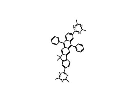 Cc1nc(C)nc(-c2ccc3c(c2)C(C)(C)c2cc4c(-c5ccccc5)c5ccc(-c6nc(C)nc(C)n6)cc5c(-c5ccccc5)c4cc2-3)n1